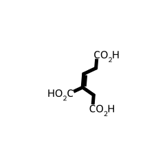 O=C(O)CC=C(CC(=O)O)C(=O)O